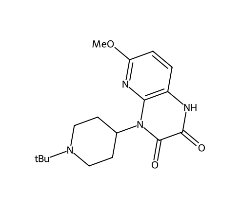 COc1ccc2[nH]c(=O)c(=O)n(C3CCN(C(C)(C)C)CC3)c2n1